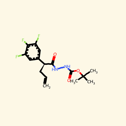 C=CC[C@H](C(=O)NNC(=O)OC(C)(C)C)c1cc(F)c(F)c(F)c1